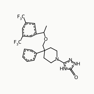 CC(OCC1(c2ccccc2)CCN(c2n[nH]c(=O)[nH]2)CC1)c1cc(C(F)(F)F)cc(C(F)(F)F)c1